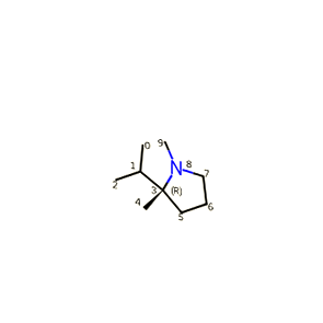 CC(C)[C@@]1(C)CCCN1C